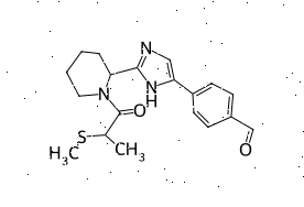 CSC(C)C(=O)N1CCCCC1c1ncc(-c2ccc(C=O)cc2)[nH]1